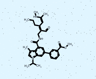 CCCC(/C=C(/C)NC)=C(/C=O)CNC(=O)c1cc(-c2cccc(C(=O)OC)c2)cc2c1c(C)cn2C(C)C